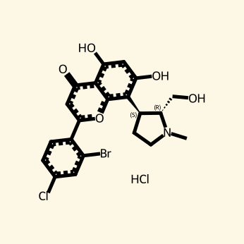 CN1CC[C@@H](c2c(O)cc(O)c3c(=O)cc(-c4ccc(Cl)cc4Br)oc23)[C@@H]1CO.Cl